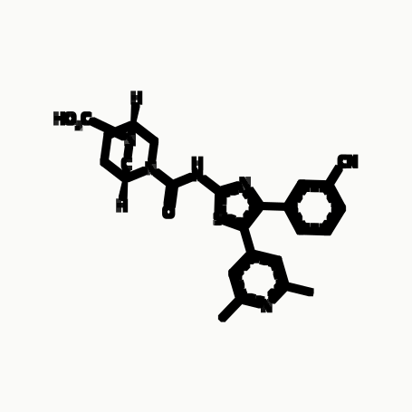 Cc1cc(-c2sc(NC(=O)N3C[C@H]4CC[C@@H]3CN4C(=O)O)nc2-c2cccc(C#N)c2)cc(C)n1